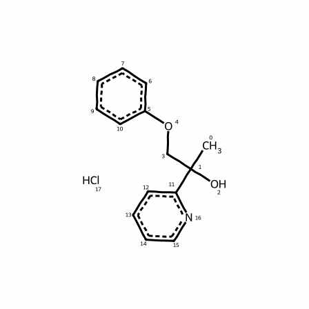 CC(O)(COc1ccccc1)c1ccccn1.Cl